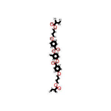 CCC(C)C(=O)OCCCCOc1ccc(C(=O)Oc2ccc(OC(=O)c3ccc(OCCCCOC(=O)C(C)CC)cc3)c(C)c2)cc1